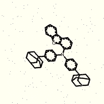 c1ccc2c(c1)oc1c(N(c3ccc(C45CC6CC(CC(C6)C4)C5)cc3)c3ccc(C45CC6CC(CC(C6)C4)C5)cc3)cccc12